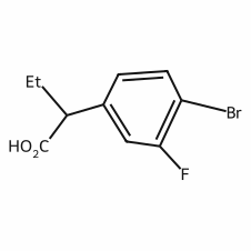 CCC(C(=O)O)c1ccc(Br)c(F)c1